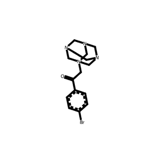 O=C(C[N+]12CN3CN(CN(C3)C1)C2)c1ccc(Br)cc1